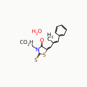 CC(=C\c1ccccc1)/C=C1/SC(=S)N(CC(=O)O)C1=O.O